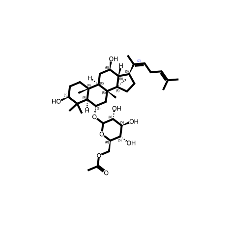 CC(=O)OC[C@H]1OC(O[C@H]2C[C@]3(C)[C@H](C[C@@H](O)[C@@H]4[C@@H](/C(C)=C\CC=C(C)C)CC[C@]43C)[C@@]3(C)CC[C@H](O)C(C)(C)[C@H]23)[C@H](O)[C@@H](O)[C@@H]1O